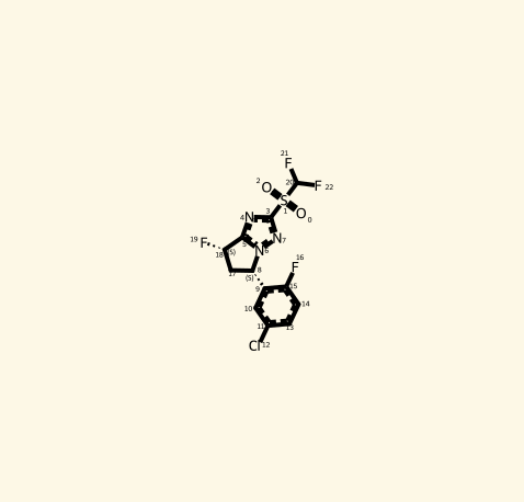 O=S(=O)(c1nc2n(n1)[C@H](c1cc(Cl)ccc1F)C[C@@H]2F)C(F)F